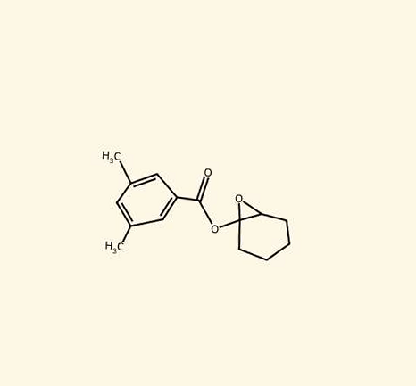 Cc1cc(C)cc(C(=O)OC23CCCCC2O3)c1